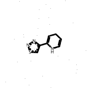 C1=CNC(c2csnn2)=CC1